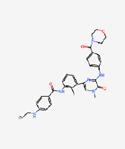 Cc1c(NC(=O)c2ccc(NCC(C)C)cc2)cccc1-c1cn(C)c(=O)c(Nc2ccc(C(=O)N3CCOCC3)cc2)n1